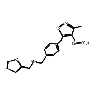 Cc1noc(-c2ccc(CNCC3CCCO3)cc2)c1NC(=O)O